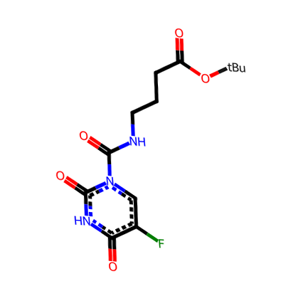 CC(C)(C)OC(=O)CCCNC(=O)n1cc(F)c(=O)[nH]c1=O